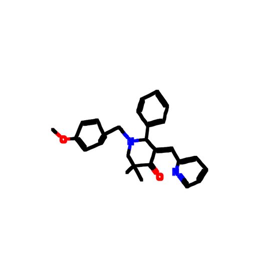 COc1ccc(CN2CC(C)(C)C(=O)C(=Cc3ccccn3)C2c2ccccc2)cc1